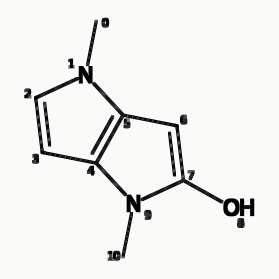 Cn1ccc2c1cc(O)n2C